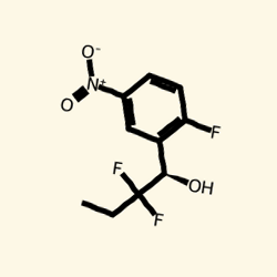 CCC(F)(F)[C@H](O)c1cc([N+](=O)[O-])ccc1F